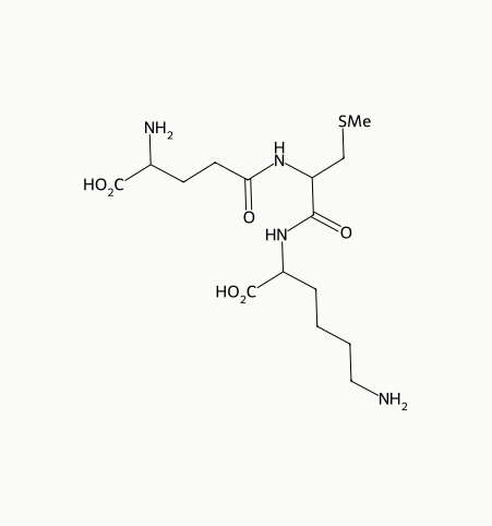 CSCC(NC(=O)CCC(N)C(=O)O)C(=O)NC(CCCCN)C(=O)O